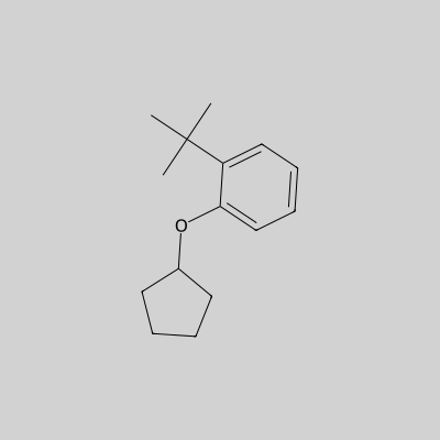 CC(C)(C)c1ccccc1OC1CCCC1